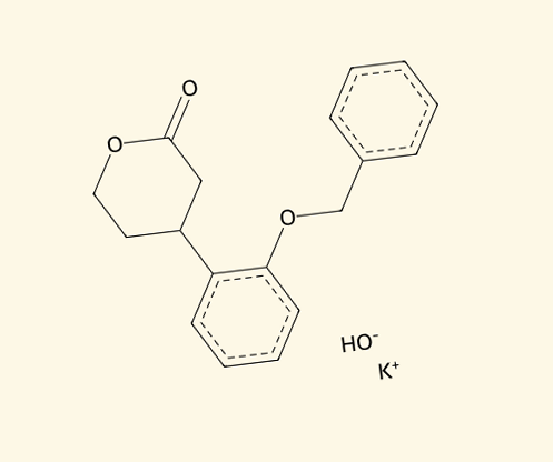 O=C1CC(c2ccccc2OCc2ccccc2)CCO1.[K+].[OH-]